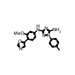 COc1cc(Nc2nc(N)n(-c3ccc(C)cc3)n2)ccc1-c1cnco1